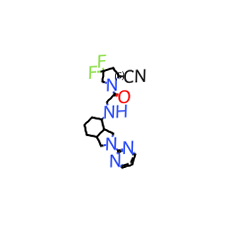 N#C[C@@H]1CC(F)(F)CN1C(=O)CNC1CCCC2CN(c3ncccn3)CC21